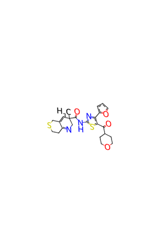 CC1(C(=O)Nc2nc(-c3ccco3)c(C(=O)C3CCOCC3)s2)C=C2CSCCC2=NC1